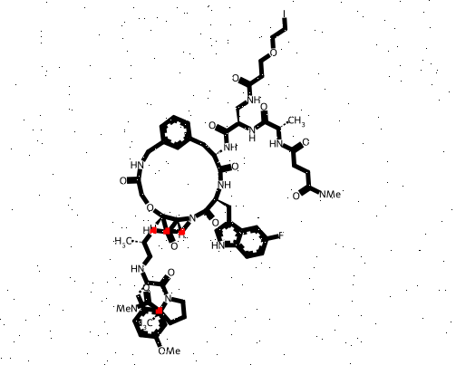 CNC(=O)CCC(=O)N[C@@H](C)C(=O)N[C@H](CNC(=O)CCOCCI)C(=O)N[C@H]1Cc2cccc(c2)CNC(=O)CO[C@H]2CCN(C(=O)[C@H](Cc3c[nH]c4ccc(F)cc34)NC1=O)[C@@H]2C(=O)N[C@@H](C)CN[C@@H](Cc1ccc(OC)cc1)C(=O)N1CCC[C@@]1(C)C(=O)NC